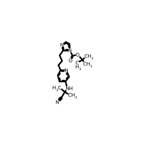 CC(C)(C#N)Nc1ccc(CCCc2nccn2C(=O)OC(C)(C)C)nc1